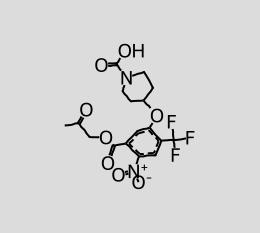 CC(=O)COC(=O)c1cc(OC2CCN(C(=O)O)CC2)c(C(F)(F)F)cc1[N+](=O)[O-]